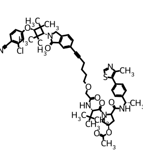 CC(=O)O[C@@H]1CC(C(=O)N[C@@H](C)c2ccc(-c3scnc3C)cc2)N(C(=O)[C@@H](NC(=O)COCCCCC#Cc2ccc3c(c2)C(=O)N([C@H]2C(C)(C)[C@H](Oc4ccc(C#N)c(Cl)c4)C2(C)C)C3)C(C)(C)C)C1